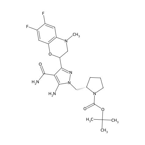 CN1CC(c2nn(C[C@@H]3CCCN3C(=O)OC(C)(C)C)c(N)c2C(N)=O)Oc2cc(F)c(F)cc21